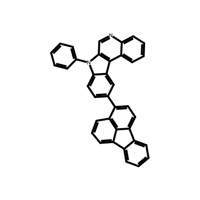 c1ccc(-n2c3ccc(-c4ccc5c6c(cccc46)-c4ccccc4-5)cc3c3c4ccccc4ncc32)cc1